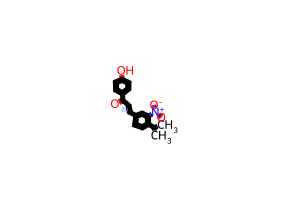 CC(C)c1ccc(/C=C/C(=O)c2ccc(O)cc2)cc1[N+](=O)[O-]